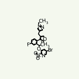 CCn1cc(Cc2conc2-c2ccc(F)cc2C(C)Oc2cc(Br)cnc2[N+](=O)[O-])cn1